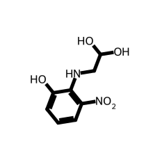 O=[N+]([O-])c1cccc(O)c1NCC(O)O